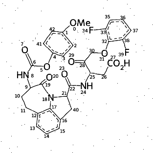 COc1ccc(OC(=O)NC2CCc3cccc4c3N(C2=O)C(C(=O)NC(CC(=O)O)C(=O)COc2c(F)cccc2F)C4)cc1